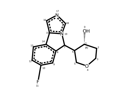 O[C@@H]1CCOCC1C1c2cc(F)ccc2-c2cncn21